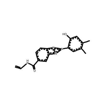 C=CNC(=O)c1ccc2c(c1)n1n(-c3cc(C)c(C)cc3O)n21